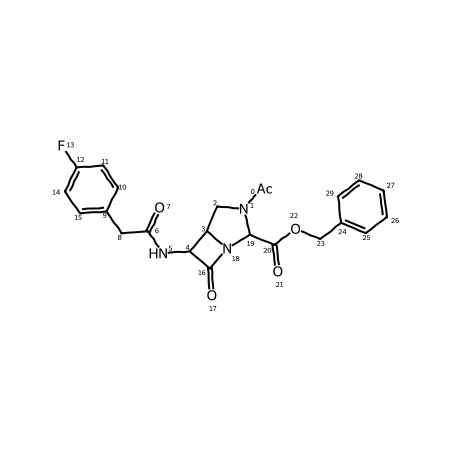 CC(=O)N1CC2C(NC(=O)Cc3ccc(F)cc3)C(=O)N2C1C(=O)OCc1ccccc1